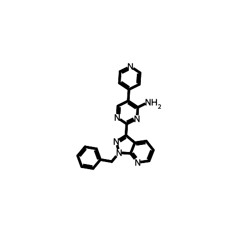 Nc1nc(-c2nn(Cc3ccccc3)c3ncccc23)ncc1-c1ccncc1